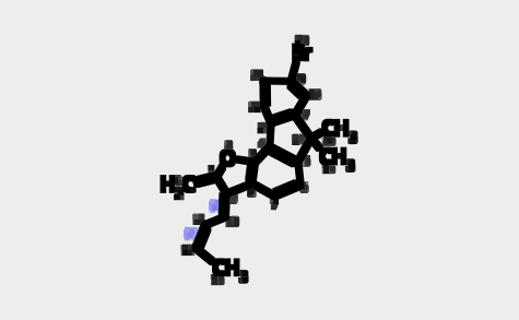 C=c1oc2c3c(ccc2/c1=C/C=C\C)C(C)(C)c1cc(Br)ccc1-3